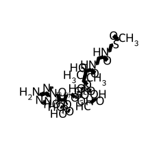 C#CC(=O)O.CC(=O)SCCNC(=O)CCNC(=O)[C@H](O)C(C)(C)COP(=O)(O)OP(=O)(O)OC[C@H]1O[C@@H](n2cnc3c(N)ncnc32)[C@H](O)[C@@H]1OP(=O)(O)O